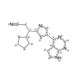 N#CCC(c1ncc(-c2ncnc3[nH]ccc23)s1)C1CCCC1